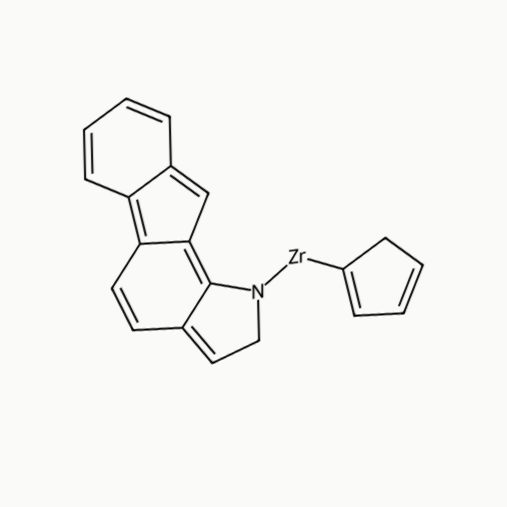 C1=CC[C]([Zr][N]2CC=c3ccc4c(c32)C=c2ccccc2=4)=C1